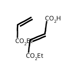 C=CC(=O)OCC.CCOC(=O)C=CC(=O)O